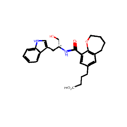 O=C(O)CCCc1cc2c(c(C(=O)N[C@@H](CO)Cc3c[nH]c4ccccc34)c1)OCCCC2